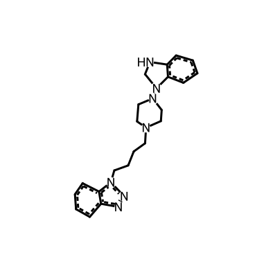 c1ccc2c(c1)NCN2N1CCN(CCCCn2nnc3ccccc32)CC1